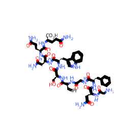 CC(C)C[C@H](NC(=O)CNC(=O)[C@H](Cc1ccccc1)NC(=O)[C@H](CC(N)=O)NC(=O)CN)C(=O)N[C@@H](CO)C(=O)N[C@@H](Cc1c[nH]c2ccccc12)C(=O)N[C@@H](CC(N)=O)C(=O)N[C@@H](CCC(N)=O)C(=O)N[C@@H](CCC(N)=O)C(=O)O